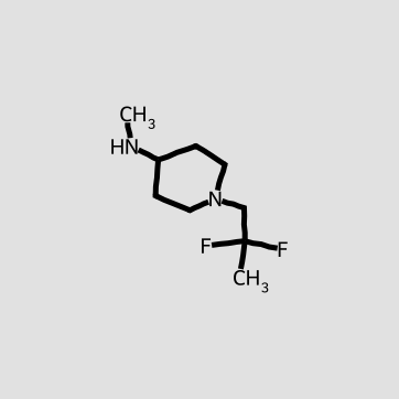 CNC1CCN(CC(C)(F)F)CC1